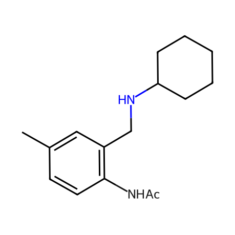 CC(=O)Nc1ccc(C)cc1CNC1CCCCC1